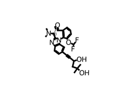 CC[C@H](c1nc2ccc(C#CC(O)CC(C)(C)O)cc2n1-c1c(C=O)cccc1OC(F)F)N(C)C